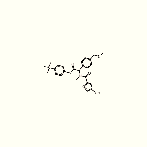 COCc1ccc(C(C(=O)Nc2ccc([Si](C)(C)C)cc2)N(C)C(=O)c2cc(O)no2)cc1